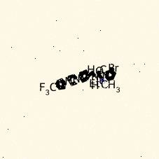 C=C1C(Br)=CC=CN1/C(C(=O)NCc1ccc(N2CCN(c3ccc(C(F)(F)F)cc3)CC2)cc1)=C(\C)CC